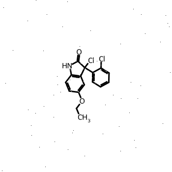 CCOc1ccc2c(c1)C(Cl)(c1ccccc1Cl)C(=O)N2